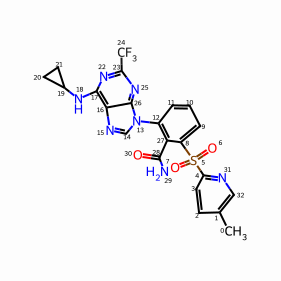 Cc1ccc(S(=O)(=O)c2cccc(-n3cnc4c(NC5CC5)nc(C(F)(F)F)nc43)c2C(N)=O)nc1